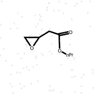 CCCOC(=O)CC1CO1